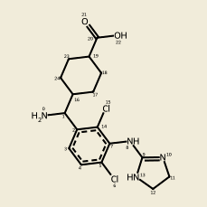 NC(c1ccc(Cl)c(NC2=NCCN2)c1Cl)C1CCC(C(=O)O)CC1